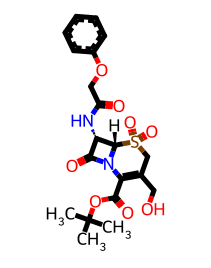 CC(C)(C)OC(=O)C1=C(CO)CS(=O)(=O)[C@H]2[C@@H](NC(=O)COc3ccccc3)C(=O)N12